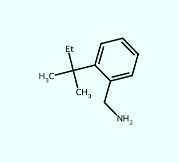 CCC(C)(C)c1ccccc1CN